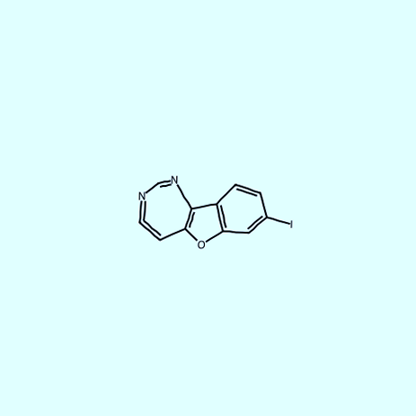 Ic1ccc2c3c(oc2c1)C=C=NC=N3